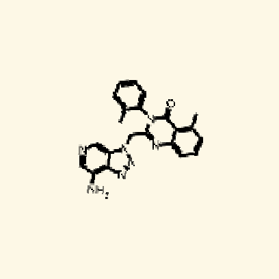 Cc1ccccc1-n1c(Cn2nnc3c(N)cncc32)nc2cccc(C)c2c1=O